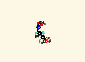 CC(C)c1c(F)c(CN2CCN(S(C)(=O)=O)CC2)cc(F)c1-c1ccc(C(O)(C(F)(F)F)C(F)(F)F)cc1F